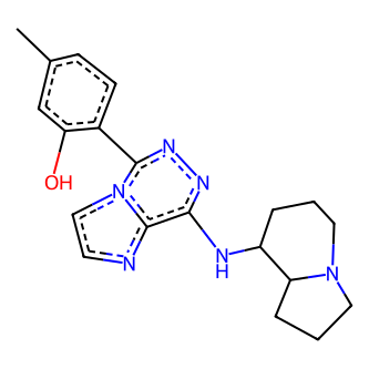 Cc1ccc(-c2nnc(NC3CCCN4CCCC34)c3nccn23)c(O)c1